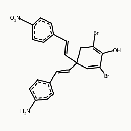 Nc1ccc(C=CC2(/C=C/c3ccc([N+](=O)[O-])cc3)C=C(Br)C(O)=C(Br)C2)cc1